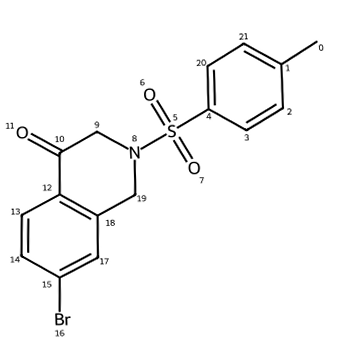 Cc1ccc(S(=O)(=O)N2CC(=O)c3ccc(Br)cc3C2)cc1